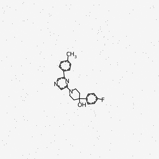 Cc1ccc(-c2cncc(N3CCC(O)(c4ccc(F)cc4)CC3)n2)cc1